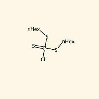 CCCCCCSP(=S)(Cl)SCCCCCC